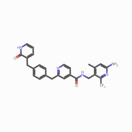 Cc1cc(N)nc(C(F)(F)F)c1CNC(=O)c1ccnc(Cc2ccc(Cc3ccc[nH]c3=O)cc2)c1